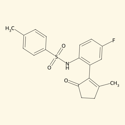 CC1=C(c2cc(F)ccc2NS(=O)(=O)c2ccc(C)cc2)C(=O)CC1